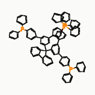 c1ccc(P(c2ccccc2)c2ccc(-c3cc(-c4ccc(P(c5ccccc5)c5ccccc5)cc4)cc(C4(c5cc(-c6ccc(P(c7ccccc7)c7ccccc7)cc6)cc(-c6ccc(P(c7ccccc7)c7ccccc7)cc6)c5)c5ccccc5-c5ccccc54)c3)cc2)cc1